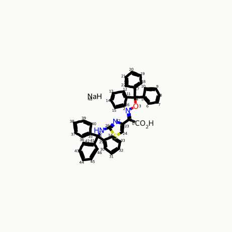 O=C(O)/C(=N\OC(c1ccccc1)(c1ccccc1)c1ccccc1)c1csc(NC(c2ccccc2)(c2ccccc2)c2ccccc2)n1.[NaH]